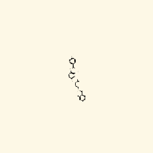 COc1ccc(C(=O)Nc2ccc(C[C@@H](CCn3nnc4ccccc4c3=O)C(=O)O)cc2O)cc1